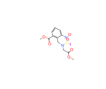 COC(=O)CN(Cc1c(C(=O)OC)cccc1[N+](=O)[O-])SI